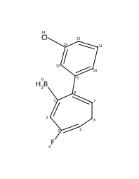 BC1=CC(F)=CCC=C1c1cccc(Cl)c1